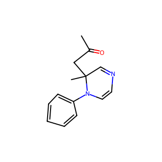 CC(=O)CC1(C)C=NC=CN1c1ccccc1